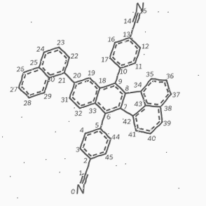 N#Cc1ccc(-c2c3c(c(-c4ccc(C#N)cc4)c4cc(-c5cccc6ccccc56)ccc24)-c2cccc4cccc-3c24)cc1